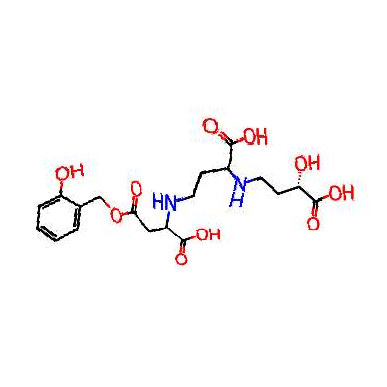 O=C(CC(NCCC(NCC[C@H](O)C(=O)O)C(=O)O)C(=O)O)OCc1ccccc1O